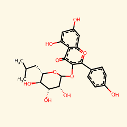 CC(C)C[C@@H]1OC(Oc2c(-c3ccc(O)cc3)oc3cc(O)cc(O)c3c2=O)[C@H](O)[C@H](O)[C@H]1O